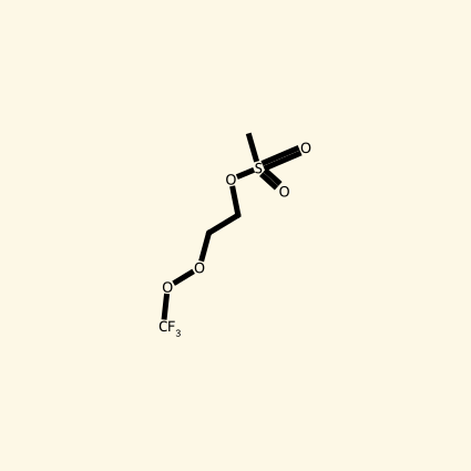 CS(=O)(=O)OCCOOC(F)(F)F